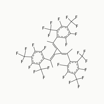 CC(=C1C(=C(C)c2c(F)c(F)c(C(F)(F)F)c(F)c2C(F)(F)F)C1=C(C)c1c(F)c(F)c(C(F)(F)F)c(F)c1C(F)(F)F)c1c(F)c(F)c(C(F)(F)F)c(F)c1C(F)(F)F